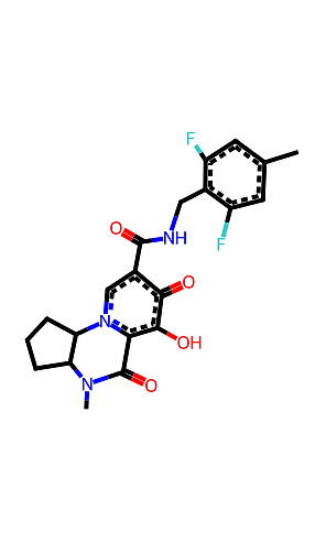 Cc1cc(F)c(CNC(=O)c2cn3c(c(O)c2=O)C(=O)N(C)C2CCCC23)c(F)c1